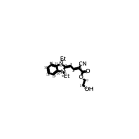 CCN1C(=C/C=C(\C#N)C(=O)OCCO)N(CC)c2ccccc21